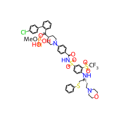 CO[PH](O)(O)O[C@@H](c1ccccc1-c1ccc(Cl)cc1)C1CCN(c2ccc(C(=O)NS(=O)(=O)c3ccc(N[C@H](CCN4CCOCC4)CSc4ccccc4)c(S(=O)(=O)C(F)(F)F)c3)cc2)CC1